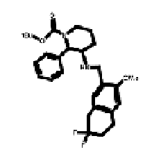 COc1cc2c(cc1CNC1CCCN(C(=O)OC(C)(C)C)C1c1ccccc1)CC(F)(F)CC2